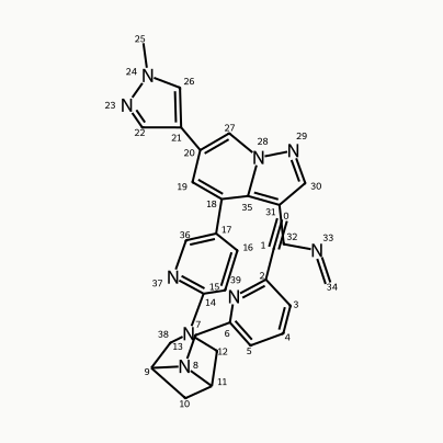 C#Cc1cccc(CN2C3CC2CN(c2ccc(-c4cc(-c5cnn(C)c5)cn5ncc(CN=C)c45)cn2)C3)n1